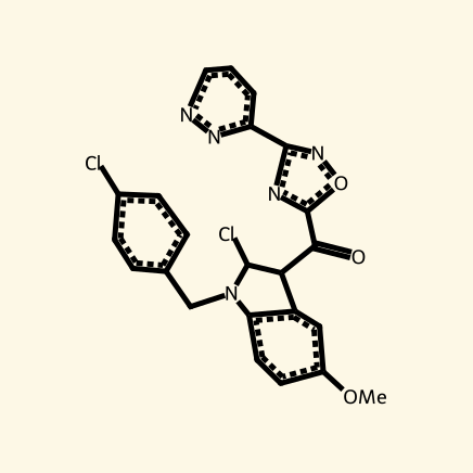 COc1ccc2c(c1)C(C(=O)c1nc(-c3cccnn3)no1)C(Cl)N2Cc1ccc(Cl)cc1